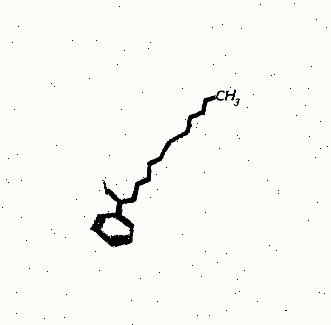 CCCCCCCCCCCC(I)c1ccccc1